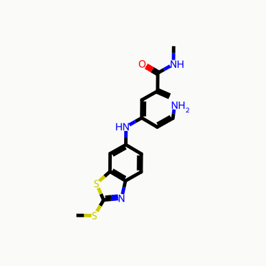 C=C(/C=C(\C=C/N)Nc1ccc2nc(SC)sc2c1)C(=O)NC